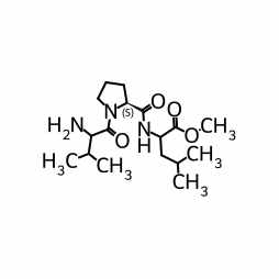 COC(=O)C(CC(C)C)NC(=O)[C@@H]1CCCN1C(=O)C(N)C(C)C